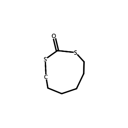 O=C1SCCCCCCS1